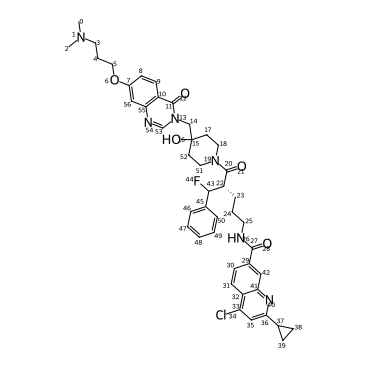 CN(C)CCCOc1ccc2c(=O)n(CC3(O)CCN(C(=O)[C@H](CCCNC(=O)c4ccc5c(Cl)cc(C6CC6)nc5c4)C(F)c4ccccc4)CC3)cnc2c1